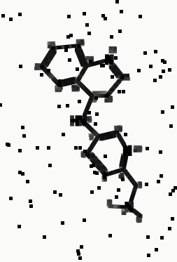 CN(C)Cc1ccc(Nc2ccnc3ccccc23)cn1